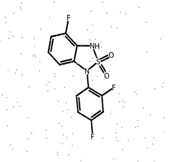 O=S1(=O)Nc2c(F)cccc2N1c1ccc(F)cc1F